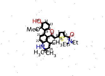 CCN(CC)C(=O)c1ccc(/C=C2\Oc3ccc(O)c(OC)c3-c3ccc4c(c32)C(C)=CC(C)(C)N4)s1